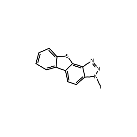 In1nnc2c3sc4ccccc4c3ccc21